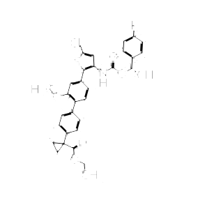 CCOC(=O)C1(c2ccc(-c3ccc(-c4sc(Cl)cc4NC(=O)O[C@H](C)c4ccc(F)cc4)cc3OC)cc2)CC1